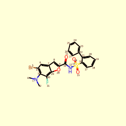 CN(C)c1c(Br)cc2cc(C(=O)NS(=O)(=O)c3ccccc3-c3ccccc3)oc2c1F